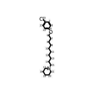 Clc1ccc(OCCCCCCCCCCN2CCCCC2)cc1